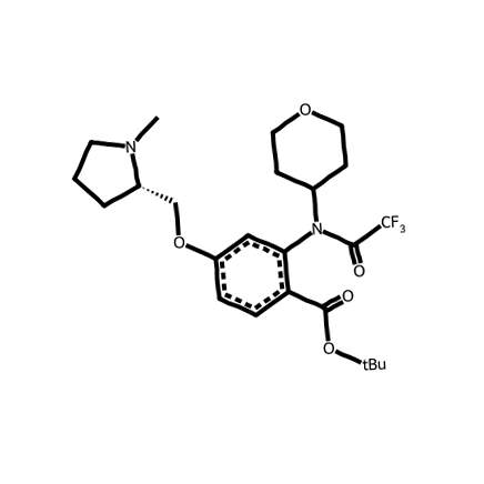 CN1CCC[C@H]1COc1ccc(C(=O)OC(C)(C)C)c(N(C(=O)C(F)(F)F)C2CCOCC2)c1